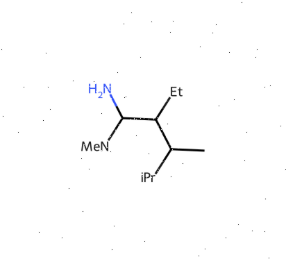 CCC(C(N)NC)C(C)C(C)C